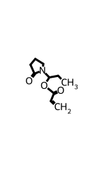 C=CC(=O)OC(CC)N1CCCC1=O